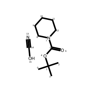 CC(C)(C)OC(=O)N1CCCCC1.N#CO